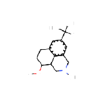 COC1CCc2cc(C(C)(C)C)cc3c2C1CN(C)C3